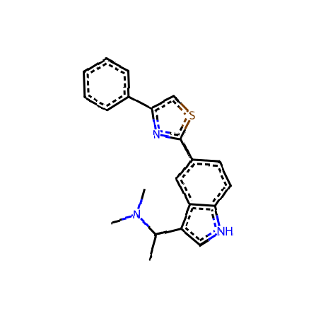 CC(c1c[nH]c2ccc(-c3nc(-c4ccccc4)cs3)cc12)N(C)C